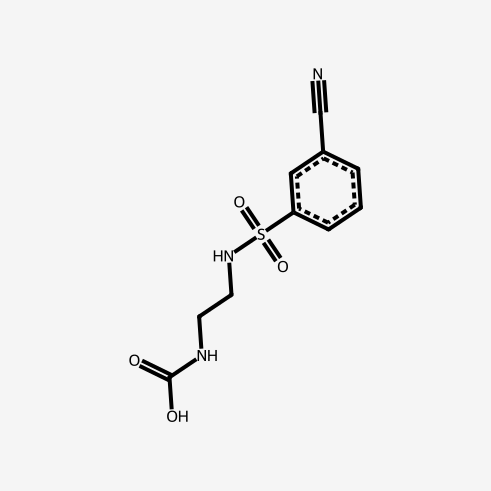 N#Cc1cccc(S(=O)(=O)NCCNC(=O)O)c1